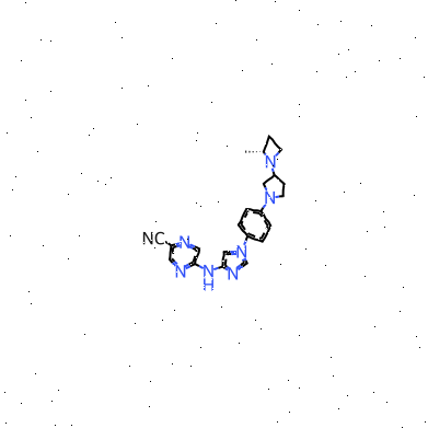 C[C@@H]1CCN1C1CCN(c2ccc(-n3cnc(Nc4cnc(C#N)cn4)c3)cc2)C1